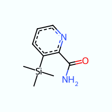 C[Si](C)(C)c1cccnc1C(N)=O